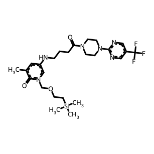 Cc1cc(NCCCC(=O)N2CCN(c3ncc(C(F)(F)F)cn3)CC2)cn(COCC[Si](C)(C)C)c1=O